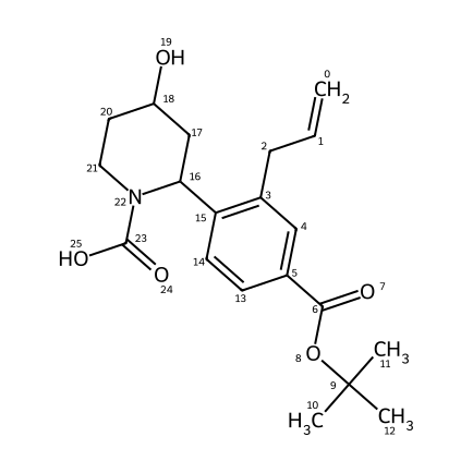 C=CCc1cc(C(=O)OC(C)(C)C)ccc1C1CC(O)CCN1C(=O)O